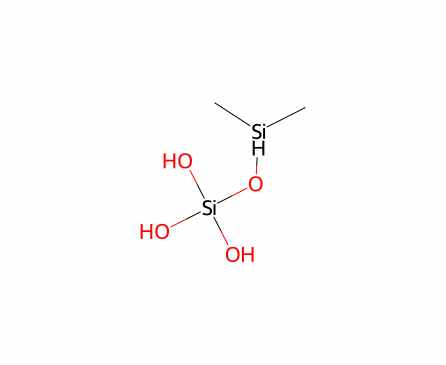 C[SiH](C)O[Si](O)(O)O